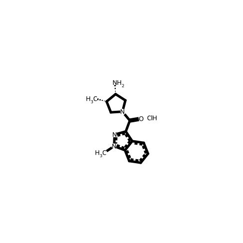 C[C@H]1CN(C(=O)c2nn(C)c3ccccc23)C[C@H]1N.Cl